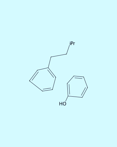 CC(C)CCc1ccccc1.Oc1ccccc1